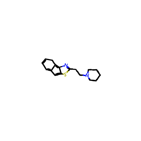 C1=CCC2=c3nc(CCN4CCCCC4)sc3=CC2=C1